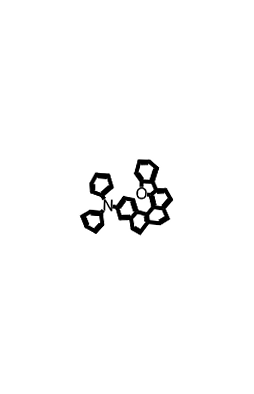 c1ccc(N(c2ccccc2)c2ccc3c(ccc4ccc5ccc6c7ccccc7oc6c5c43)c2)cc1